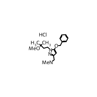 CNCc1cc(OCc2ccccc2)n(CCC(C)(C)OC)n1.Cl